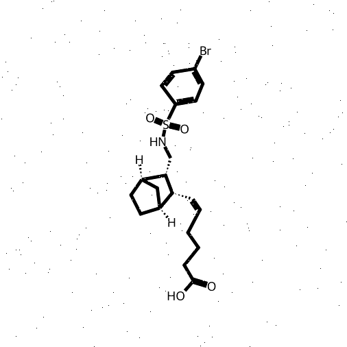 O=C(O)CCC/C=C\[C@@H]1[C@H]2CC[C@H](C2)[C@@H]1CNS(=O)(=O)c1ccc(Br)cc1